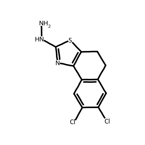 NNc1nc2c(s1)CCc1cc(Cl)c(Cl)cc1-2